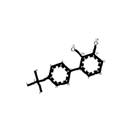 CC(C)(C)c1ccc(-c2cccc([O])c2Cl)cc1